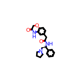 O=C1COc2ccc(CC(=O)N[C@H](CN3CCCC3)c3ccccc3)cc2N1